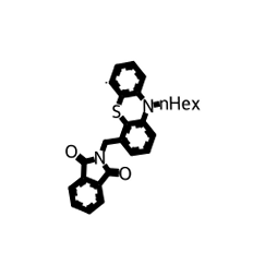 CCCCCCN1c2ccc[c]c2Sc2c(CN3C(=O)c4ccccc4C3=O)cccc21